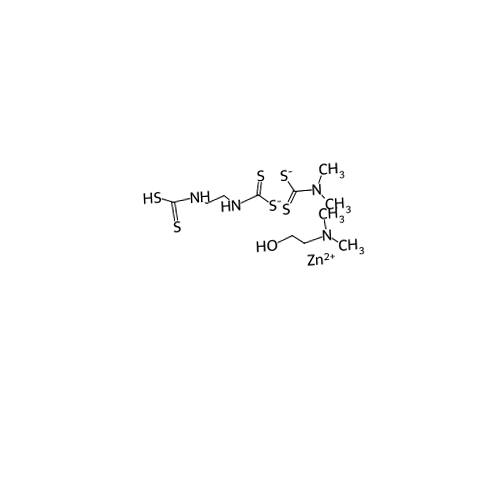 CN(C)C(=S)[S-].CN(C)CCO.S=C([S-])NCCNC(=S)S.[Zn+2]